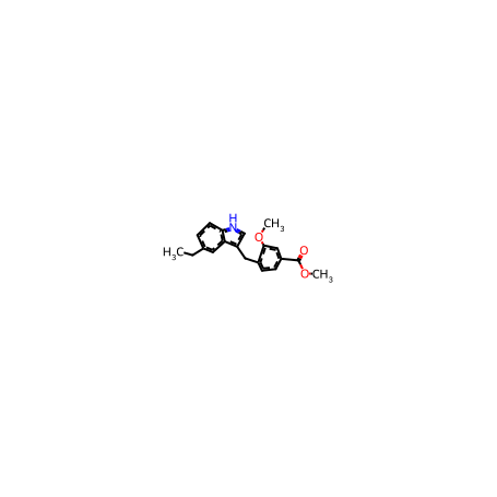 CCc1ccc2[nH]cc(Cc3ccc(C(=O)OC)cc3OC)c2c1